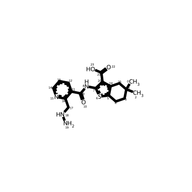 CC1(C)CCc2sc(NC(=O)c3cccnc3CNN)c(C(=O)O)c2C1